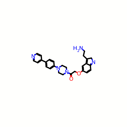 NCCC1=c2cc(OCC(=O)N3CCN(c4ccc(-c5ccncc5)cc4)CC3)ccc2=NC1